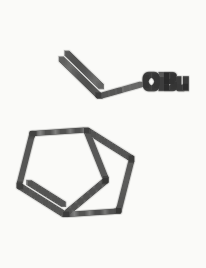 C1=C2CCC(C1)C2.C=COCC(C)C